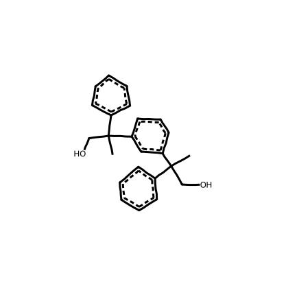 CC(CO)(c1ccccc1)c1cccc(C(C)(CO)c2ccccc2)c1